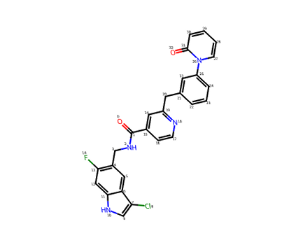 O=C(NCc1cc2c(Cl)c[nH]c2cc1F)c1ccnc(Cc2cccc(-n3ccccc3=O)c2)c1